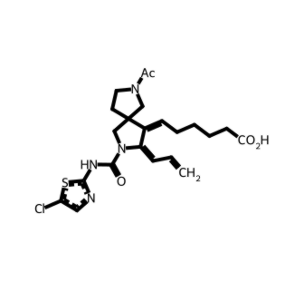 C=C/C=C1\C(=C/CCCCC(=O)O)C2(CCN(C(C)=O)C2)CN1C(=O)Nc1ncc(Cl)s1